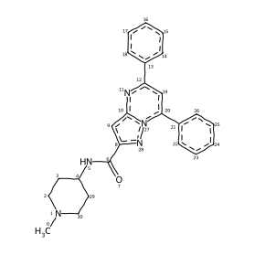 CN1CCC(NC(=O)c2cc3nc(-c4ccccc4)cc(-c4ccccc4)n3n2)CC1